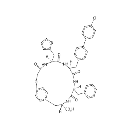 O=C1COc2ccc(cc2)C[C@@H](C(=O)O)NC(=O)[C@H](Cc2ccccc2)NC(=O)[C@H](Cc2ccc(-c3ccc(Cl)cc3)cc2)NC(=O)[C@H](Cc2cccs2)N1